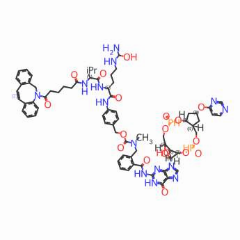 CC(C)[C@H](NC(=O)CCCCC(=O)N1Cc2ccccc2/C=C\c2ccccc21)C(=O)N[C@@H](CCCNC(N)O)C(=O)Nc1ccc(COC(=O)N(C)Cc2ccccc2C(=O)Nc2nc3c(ncn3[C@@H]3O[C@@H]4CO[PH](=O)O[C@H]5C[C@H](Oc6ccncn6)C[C@@H]5CO[PH](=O)O[C@@H]3[C@@H]4O)c(=O)[nH]2)cc1